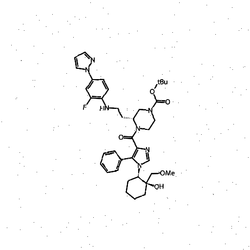 COC[C@]1(O)CCCC[C@H]1n1cnc(C(=O)N2CCN(C(=O)OC(C)(C)C)C[C@H]2CCNc2ccc(-n3cccn3)cc2F)c1-c1ccccc1